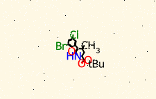 CC1CC(C(=O)OC(C)(C)C)Nc2oc3c(Br)cc(Cl)cc3c21